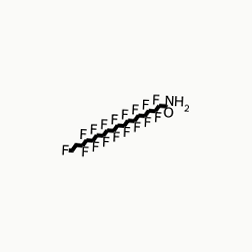 NC(=O)C(F)C(F)C(F)C(F)C(F)C(F)C(F)C(F)C(F)C(F)C(F)C(F)C(F)C(F)C(F)C(F)CCF